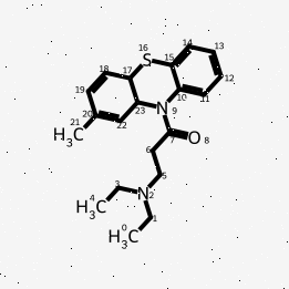 CCN(CC)CCC(=O)N1c2ccccc2SC2C=CC(C)=CC21